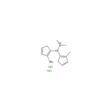 CC1=[C]([Hf]([C]2=C(C(C)(C)C)C=CC2)[SiH](C)C)CC=C1.Cl.Cl